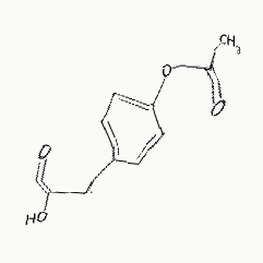 CC(=O)Oc1ccc([CH]C(=O)O)cc1